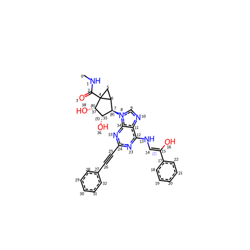 CNC(=O)C12CC1[C@@H](n1cnc3c(N/C=C(\O)c4ccccc4)nc(C#Cc4ccccc4)nc31)[C@H](O)[C@@H]2O